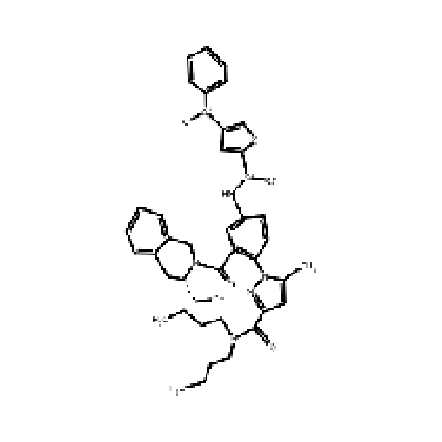 CCCCN(CCCC)C(=O)c1cc(C)n(-c2ccc(N[S+]([O-])c3cc([S+]([O-])c4ccccc4)cs3)cc2C(=O)N2Cc3ccccc3C[C@H]2CO)n1